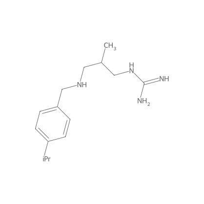 CC(CNCc1ccc(C(C)C)cc1)CNC(=N)N